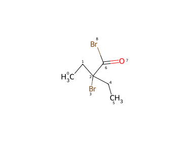 CCC(Br)(CC)C(=O)Br